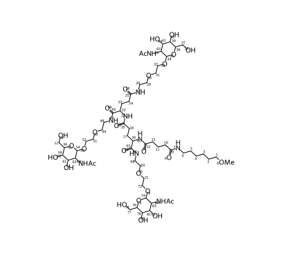 COCCCCCCNC(=O)CCCC(=O)NC(CCC(=O)NC(CCC(=O)NCCOCCOC1OC(CO)C(O)C(O)C1NC(C)=O)C(=O)NCCOCCOC1OC(CO)C(O)C(O)C1NC(C)=O)C(=O)NCCOCCOC1OC(CO)C(O)C(O)C1NC(C)=O